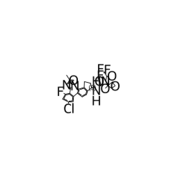 Cc1nc(-c2c(F)cc(Cl)cc2-c2ccc3c(c2)CC[C@@H]3NC(=O)OC2(NC(=O)C(F)(F)F)COC2)no1